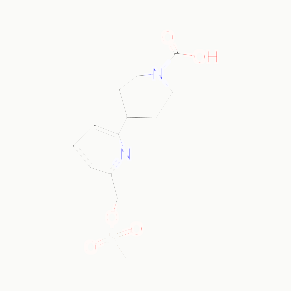 CS(=O)(=O)OCc1cccc(C2CCN(C(=O)O)CC2)n1